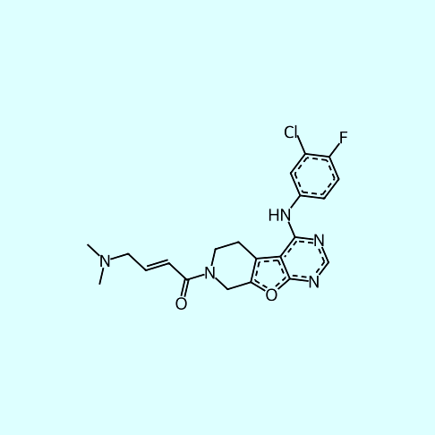 CN(C)CC=CC(=O)N1CCc2c(oc3ncnc(Nc4ccc(F)c(Cl)c4)c23)C1